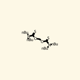 CCCCN(CCCC)C(=S)OCOC(=S)N(CCCC)CCCC